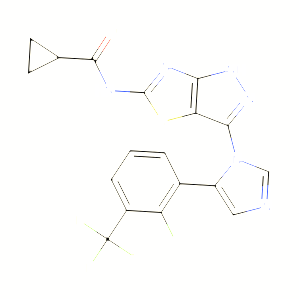 O=C(Nc1nc2[nH]nc(-n3cncc3-c3cccc(C(F)(F)F)c3F)c2s1)C1CC1